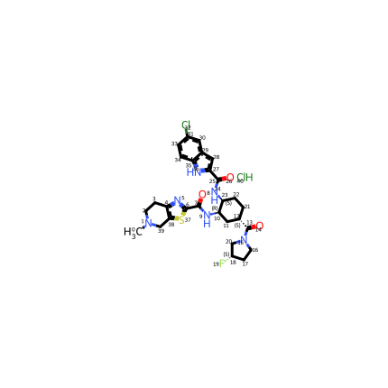 CN1CCc2nc(C(=O)N[C@@H]3C[C@@H](C(=O)N4CC[C@H](F)C4)CC[C@@H]3NC(=O)c3cc4cc(Cl)ccc4[nH]3)sc2C1.Cl